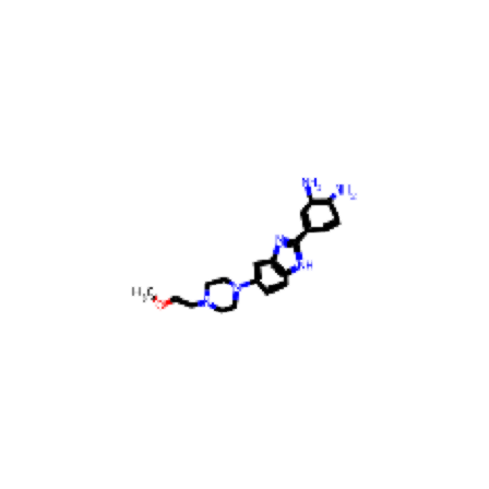 COCCN1CCN(c2ccc3[nH]c(-c4ccc(N)c(N)c4)nc3c2)CC1